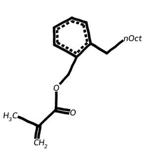 C=C(C)C(=O)OCc1ccccc1CCCCCCCCC